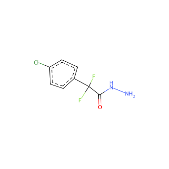 NNC(=O)C(F)(F)c1ccc(Cl)cc1